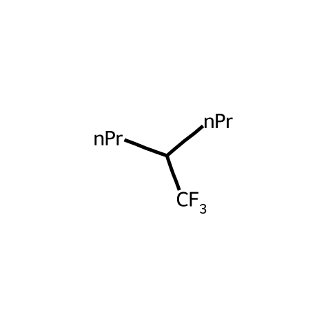 CCCC(CCC)C(F)(F)F